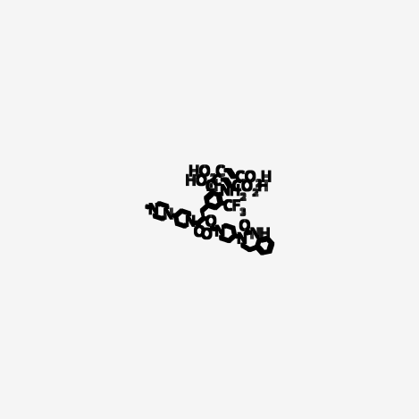 CN1CCN(C2CCN(C(=O)[C@@H](Cc3cc(Cl)c(N)c(C(F)(F)F)c3)OC(=O)N3CCC(N4CCc5ccccc5NC4=O)CC3)CC2)CC1.O=C(O)C=CC(=O)O.O=C(O)C=CC(=O)O